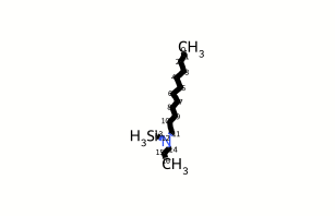 CCCCCCCCCCCCN([SiH3])CCC